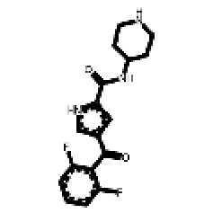 O=C(NC1CCNCC1)c1cc(C(=O)c2c(F)cccc2F)c[nH]1